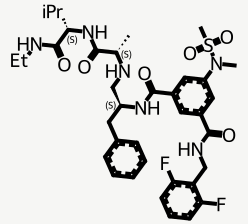 CCNC(=O)[C@@H](NC(=O)[C@H](C)NC[C@H](Cc1ccccc1)NC(=O)c1cc(C(=O)NCc2c(F)cccc2F)cc(N(C)S(C)(=O)=O)c1)C(C)C